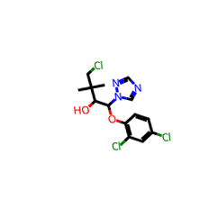 CC(C)(CCl)C(O)C(Oc1ccc(Cl)cc1Cl)n1cncn1